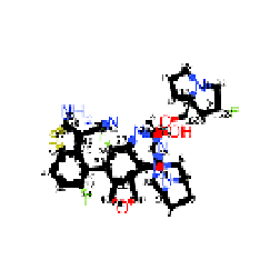 C[C@@H](O)CN1CC2CCC(C1)N2c1nc(OC[C@@]23CCCN2C[C@H](F)C3)nc2c(F)c(-c3c(F)ccc4sc(N)c(C#N)c34)c3c(c12)COC3